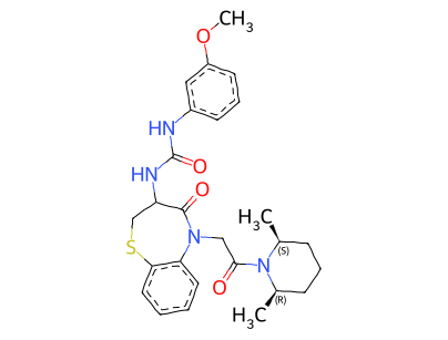 COc1cccc(NC(=O)NC2CSc3ccccc3N(CC(=O)N3[C@H](C)CCC[C@@H]3C)C2=O)c1